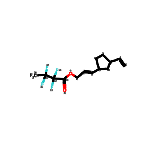 C=CC1CCC(/C=C/COC(=O)C(F)(F)C(F)(F)C(F)(F)F)C1